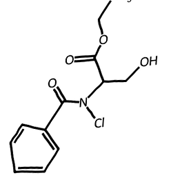 CCOC(=O)C(CO)N(Cl)C(=O)c1ccccc1